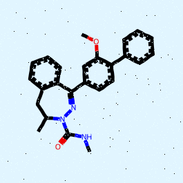 CNC(=O)N1N=C(c2ccc(-c3ccccc3)c(OC)c2)c2ccccc2CC1C